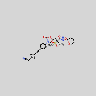 C[C@@](C[C@H]1CN(c2ccc(C#CC3CC(CC#N)C3)cc2)C(=O)O1)(C(=O)NOC1CCCCO1)S(C)(=O)=O